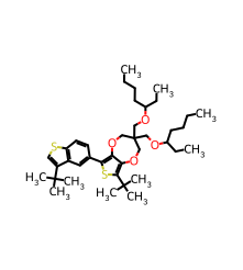 CCCCC(CC)OCC1(COC(CC)CCCC)COc2c(-c3ccc4scc(C(C)(C)C)c4c3)sc(C(C)(C)C)c2OC1